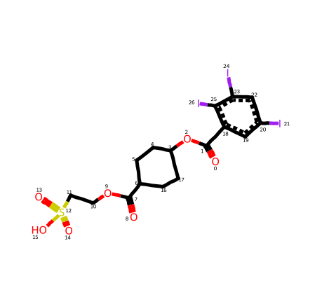 O=C(OC1CCC(C(=O)OCCS(=O)(=O)O)CC1)c1cc(I)cc(I)c1I